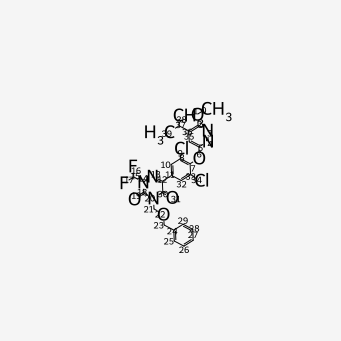 COc1nnc(Oc2c(Cl)cc(-c3nn(C(F)F)c(=O)n(COCc4ccccc4)c3=O)cc2Cl)cc1C(C)C